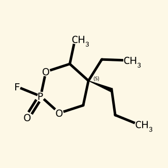 CCC[C@@]1(CC)COP(=O)(F)OC1C